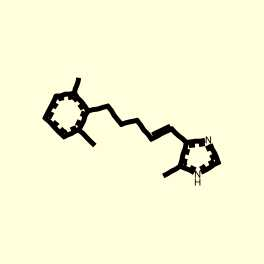 Cc1cccc(C)c1CCCC=Cc1nc[nH]c1C